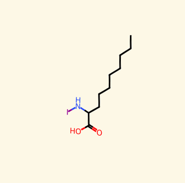 CCCCCCCCC(NI)C(=O)O